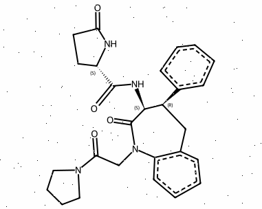 O=C1CC[C@@H](C(=O)N[C@@H]2C(=O)N(CC(=O)N3CCCC3)c3ccccc3C[C@@H]2c2ccccc2)N1